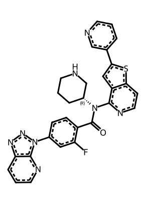 O=C(c1ccc(-n2nnc3cccnc32)cc1F)N(c1nccc2sc(-c3cccnc3)cc12)[C@@H]1CCCNC1